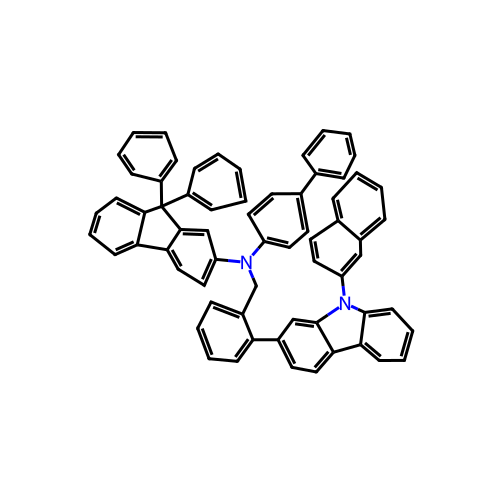 c1ccc(-c2ccc(N(Cc3ccccc3-c3ccc4c5ccccc5n(-c5ccc6ccccc6c5)c4c3)c3ccc4c(c3)C(c3ccccc3)(c3ccccc3)c3ccccc3-4)cc2)cc1